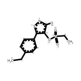 CCc1ccc(-c2snc(Cl)c2OS(=O)(=O)CC)cc1